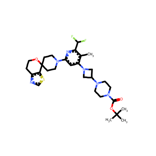 Cc1c(N2CC(N3CCN(C(=O)OC(C)(C)C)CC3)C2)cc(N2CCC3(CC2)OCCc2ncsc23)nc1C(F)F